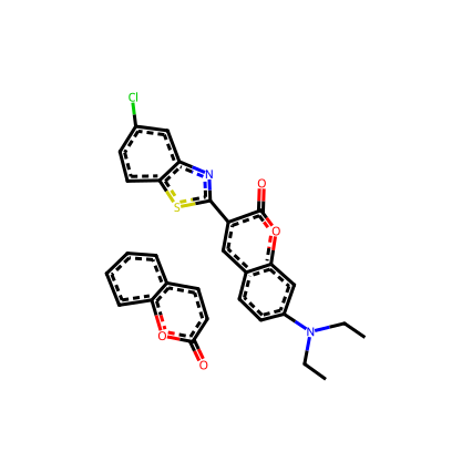 CCN(CC)c1ccc2cc(-c3nc4cc(Cl)ccc4s3)c(=O)oc2c1.O=c1ccc2ccccc2o1